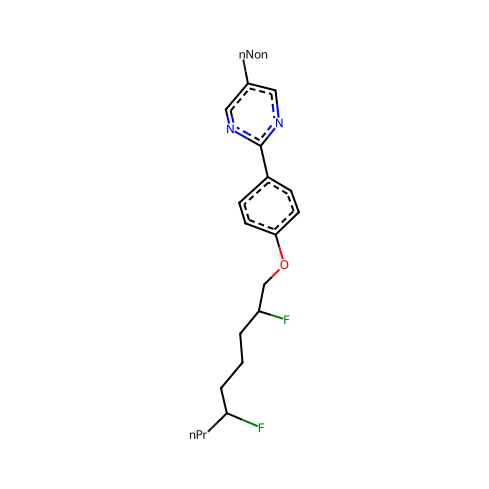 CCCCCCCCCc1cnc(-c2ccc(OCC(F)CCCC(F)CCC)cc2)nc1